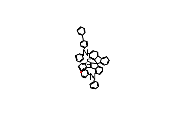 c1ccc(-c2ccc(N(c3ccccc3)c3ccc4c(c3)C3(c5ccccc5-4)c4cccc(N(c5ccccc5)c5ccccc5)c4-c4c3sc3ccccc43)cc2)cc1